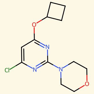 Clc1cc(OC2CCC2)nc(N2CCOCC2)n1